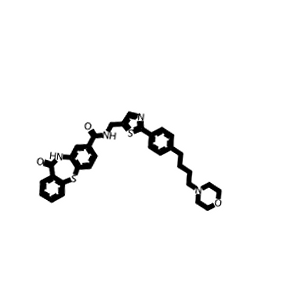 O=C(NCc1cnc(-c2ccc(CCCCN3CCOCC3)cc2)s1)c1ccc2c(c1)NC(=O)c1ccccc1S2